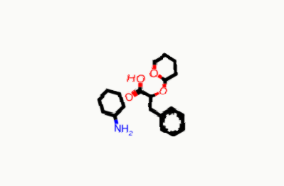 NC1CCCCC1.O=C(O)C(Cc1ccccc1)OC1CCCCO1